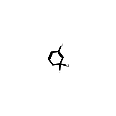 ClC1=CC(Cl)(Cl)C[C]=C1